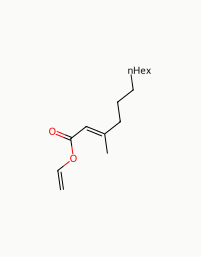 C=COC(=O)C=C(C)CCCCCCCCC